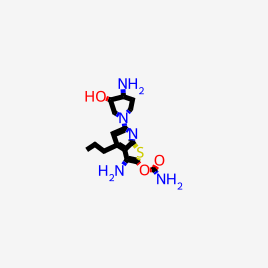 CCCc1cc(N2CCC(N)C(O)C2)nc2sc(OC(N)=O)c(N)c12